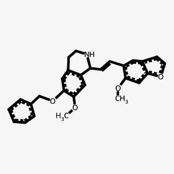 COc1cc2occc2cc1/C=C/C1NCCc2cc(OCc3ccccc3)c(OC)cc21